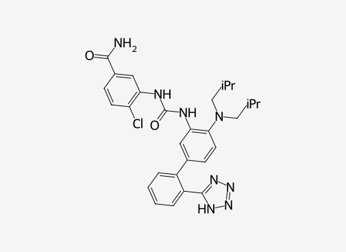 CC(C)CN(CC(C)C)c1ccc(-c2ccccc2-c2nnn[nH]2)cc1NC(=O)Nc1cc(C(N)=O)ccc1Cl